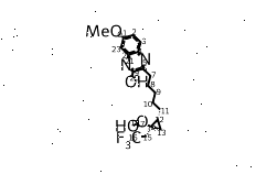 COc1ccc2nc(CCCCC[C@@H]3C[C@@]3(CC(F)(F)F)OO)c(O)nc2c1